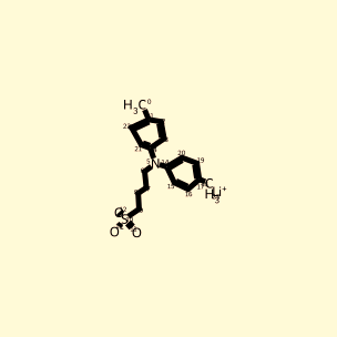 Cc1ccc(N(CCCCS(=O)(=O)[O-])c2ccc(C)cc2)cc1.[Li+]